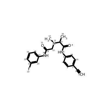 C#Cc1ccc(NC(=O)C(C)N(C)CC(=O)Nc2cccc(F)c2)cc1